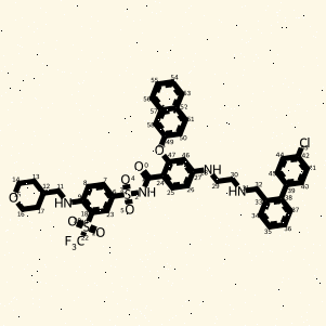 O=C(NS(=O)(=O)c1ccc(NCC2CCOCC2)c(S(=O)(=O)C(F)(F)F)c1)c1ccc(NCCNCc2ccccc2-c2ccc(Cl)cc2)cc1Oc1ccc2ccccc2c1